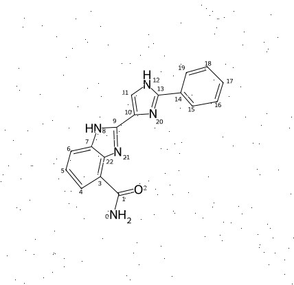 NC(=O)c1cccc2[nH]c(-c3c[nH]c(-c4ccccc4)n3)nc12